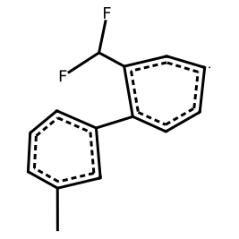 Cc1cccc(-c2cc[c]cc2C(F)F)c1